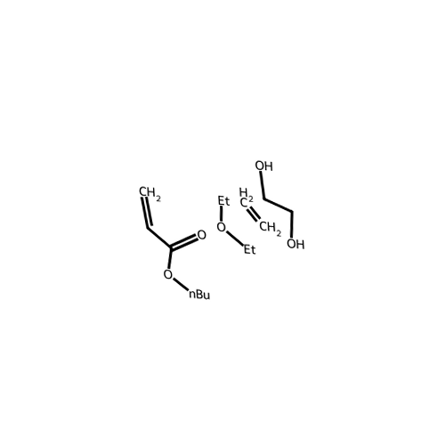 C=C.C=CC(=O)OCCCC.CCOCC.OCCO